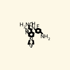 CN1CCN(c2ccc3c(Nc4ccc(CN)cc4F)c(C(N)=O)nnc3c2)CC1